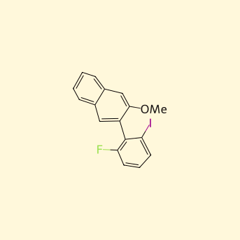 COc1cc2ccccc2cc1-c1c(F)cccc1I